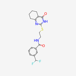 O=C(NCCSc1nc2c(c(=O)[nH]1)CCCC2)c1cccc(C(F)F)c1